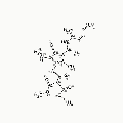 C=C/C=C\C(=C)NN(C)n1c(=O)c(NC)c(/N=C(\S)C(C(=O)OC)C(=O)OC)n1C